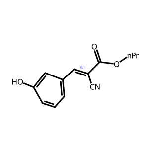 CCCOC(=O)/C(C#N)=C/c1cccc(O)c1